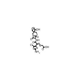 C=CC1(C(=O)O)CS[C@@H]2C(NC(=O)C(=NOCC(=O)O)c3nc(N)sc3Cl)C(=O)N2C1